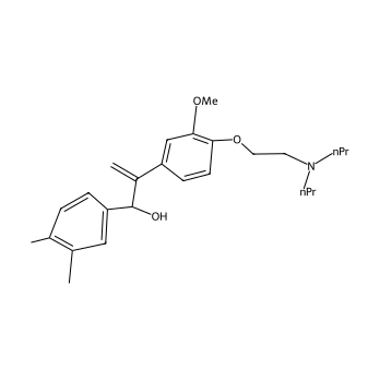 C=C(c1ccc(OCCN(CCC)CCC)c(OC)c1)C(O)c1ccc(C)c(C)c1